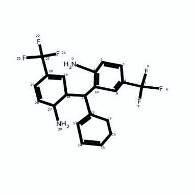 Nc1ccc(C(F)(F)F)cc1C(C1=CC=CCC1)C1C=C(C(F)(F)F)C=CC1N